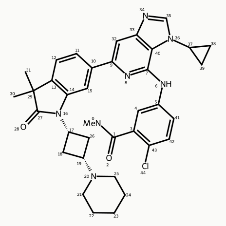 CNC(=O)c1cc(Nc2nc(-c3ccc4c(c3)N([C@H]3C[C@@H](N5CCCCC5)C3)C(=O)C4(C)C)cc3ncn(C4CC4)c23)ccc1Cl